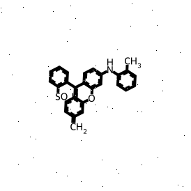 C=c1ccc2c(c1)Oc1cc(Nc3ccccc3C)ccc1C=2c1ccccc1S(=O)(=O)O